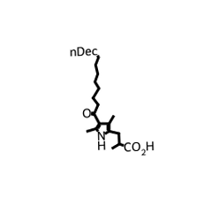 CCCCCCCCCCCCCCCCCC(=O)c1c(C)[nH]c(CC(C)C(=O)O)c1C